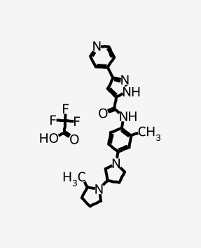 Cc1cc(N2CCC(N3CCCC3C)C2)ccc1NC(=O)c1cc(-c2ccncc2)n[nH]1.O=C(O)C(F)(F)F